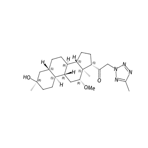 CO[C@@H]1C[C@H]2[C@@H](CC[C@H]3C[C@](C)(O)CC[C@@H]32)[C@@H]2CC[C@H](C(=O)Cn3nnc(C)n3)[C@@]12C